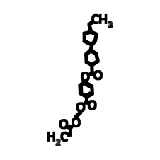 C=CC(=O)OCCOC(=O)c1ccc(OC(=O)C2CCC(C3CCC(CC)CC3)CC2)cc1